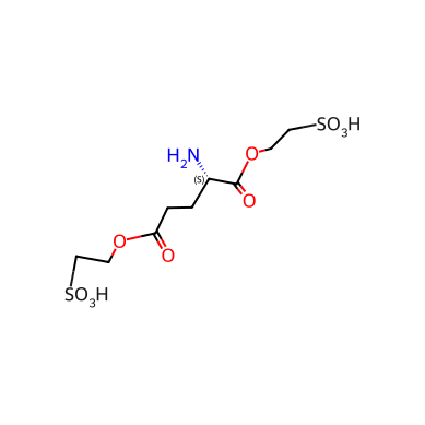 N[C@@H](CCC(=O)OCCS(=O)(=O)O)C(=O)OCCS(=O)(=O)O